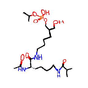 CC(=O)N[C@@H](CCCCNC(=O)C(C)C)C(=O)NCCCCC(CO)COP(=O)(O)OC(C)C